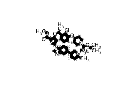 COC(=O)c1sc(-n2cnc3cc(-c4ccc(C)nc4)ccc32)cc1OC(C)c1cccc(OC2CCN(C(=O)OC(C)(C)C)CC2)c1Cl